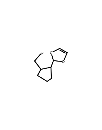 CC(C)CC1CCCC1C1OC=CO1